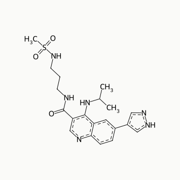 CC(C)Nc1c(C(=O)NCCCNS(C)(=O)=O)cnc2ccc(-c3cn[nH]c3)cc12